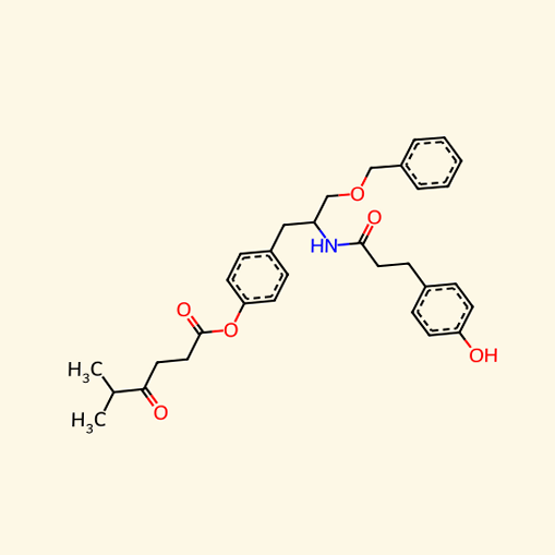 CC(C)C(=O)CCC(=O)Oc1ccc(CC(COCc2ccccc2)NC(=O)CCc2ccc(O)cc2)cc1